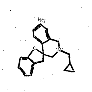 Cl.c1ccc2c(c1)CC1(CN(CC3CC3)Cc3ccccc31)O2